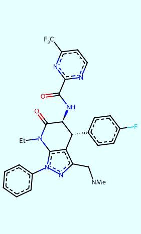 CCN1C(=O)[C@@H](NC(=O)c2nccc(C(F)(F)F)n2)[C@H](c2ccc(F)cc2)c2c(CNC)nn(-c3ccccc3)c21